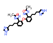 Cc1nc(-c2c(CCCc3c[nH]cn3)cccc2Oc2cccc(CCCc3c[nH]cn3)c2-c2noc(C)n2)no1